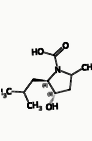 CC(C)C[C@@H]1[C@@H](O)CC(C)N1C(=O)O